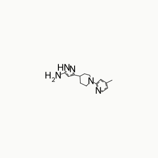 Cc1ccnc(N2CCC(c3cc(N)[nH]n3)CC2)c1